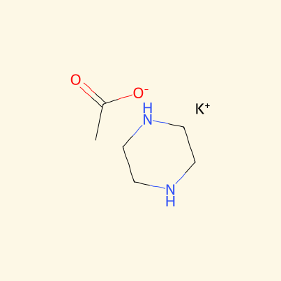 C1CNCCN1.CC(=O)[O-].[K+]